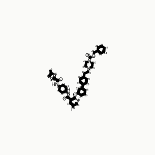 Cc1csc(C(=O)NC2CCC(NC(=O)c3cc(F)cnc3Oc3cccc(-c4ccc(CCN5CCN(C(=O)OCc6ccccc6)CC5)cc4)c3)CC2)n1